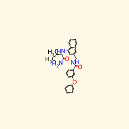 CC(C)[C@H](Nc1cc(CNC(=O)c2cccc(Oc3ccccc3)c2)cc2ccccc12)C(N)=O